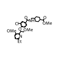 CCc1ccc(OC)c(C(COC)Oc2ccc(C(=O)NCC3CCC(C(=O)OC)CC3)cc2Cl)n1